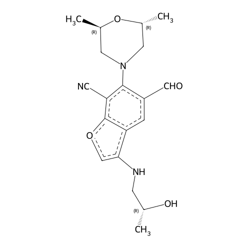 C[C@@H]1CN(c2c(C=O)cc3c(NC[C@@H](C)O)coc3c2C#N)C[C@@H](C)O1